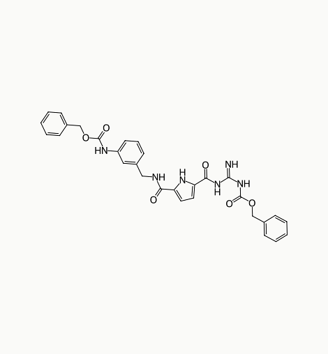 N=C(NC(=O)OCc1ccccc1)NC(=O)c1ccc(C(=O)NCc2cccc(NC(=O)OCc3ccccc3)c2)[nH]1